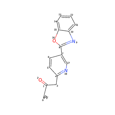 CC(C)C(=O)Cc1ccc(-c2nc3ccccc3o2)cn1